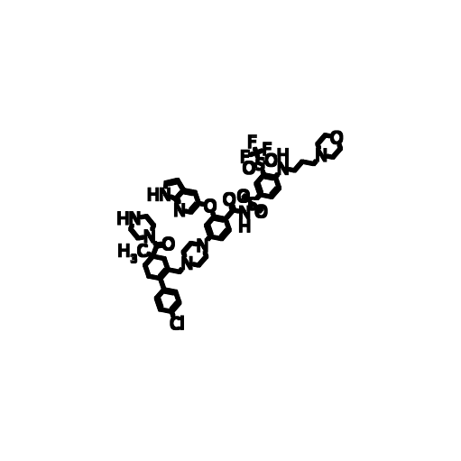 CC1(C(=O)N2CCNCC2)CCC(c2ccc(Cl)cc2)=C(CN2CCN(c3ccc(C(=O)NS(=O)(=O)c4ccc(NCCCN5CCOCC5)c(S(=O)(=O)C(F)(F)F)c4)c(Oc4cnc5[nH]ccc5c4)c3)CC2)C1